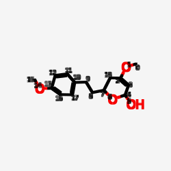 COC1=CC(O)OC(CCc2ccc(OC)cc2)C1